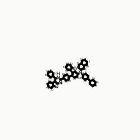 C1=CCC(c2ccc(N(c3ccc4ccccc4c3)c3ccc(-c4ccc(C5=Nc6oc7ccccc7c6C(c6ccccc6)N5)cc4)c4c3oc3ccccc34)cc2)C=C1